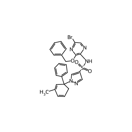 CC1=CC(c2ccccc2)(n2cc(S(=O)(=O)Nc3ncc(Br)nc3OCc3ccccc3)cn2)CC=C1